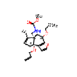 C=CCO[C@]12CC=C(C(C)=O)[C@@]1(CNC(=O)OC(C)(C)C)C[C@@H](OCOC)c1occc12